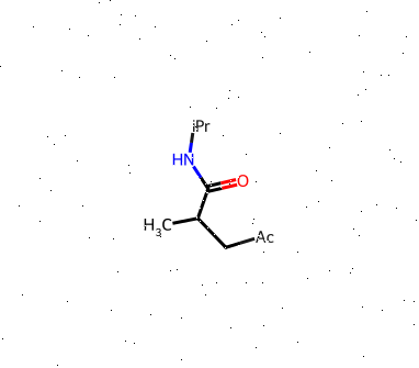 CC(=O)CC(C)C(=O)NC(C)C